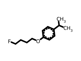 CC(C)c1ccc(OCCCCF)cc1